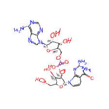 Nc1nc2c(ccn2[C@@H]2OC(CO)[C@@H](O)[C@H]2OP(=O)(O)OC[C@H]2O[C@@H](n3cnc4c(N)ncnc43)[C@H](O)[C@@H]2O)c(=O)[nH]1